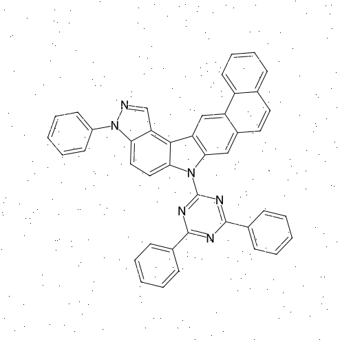 c1ccc(-c2nc(-c3ccccc3)nc(-n3c4cc5ccc6ccccc6c5cc4c4c5cnn(-c6ccccc6)c5ccc43)n2)cc1